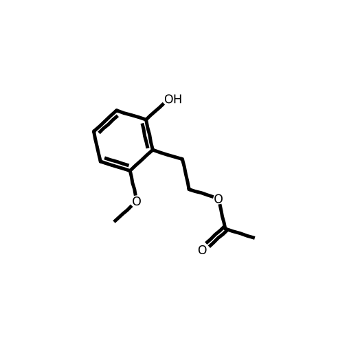 COc1cccc(O)c1CCOC(C)=O